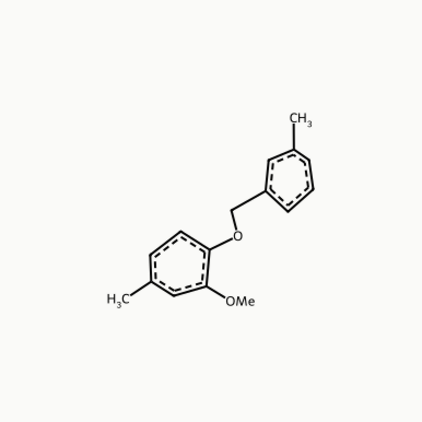 COc1cc(C)ccc1OCc1cccc(C)c1